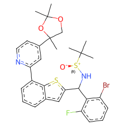 CC1(C)OCC(C)(c2ccnc(-c3cccc4cc(C(N[S@@+]([O-])C(C)(C)C)c5c(F)cccc5Br)sc34)c2)O1